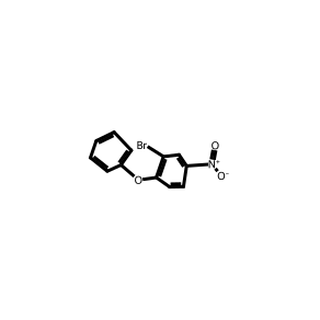 O=[N+]([O-])c1ccc(Oc2ccccc2)c(Br)c1